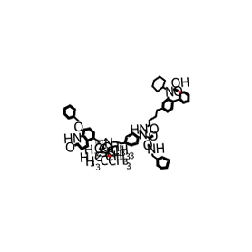 CC(C)(C)N(CCc1ccc(N(NC(=O)CCCc2ccc(-c3ccccc3)c(N(C(=O)O)C3CCCCC3)c2)C(=O)ONCc2ccccc2)cc1)C[C@H](O[Si](C)(C)C(C)(C)C)c1ccc(OCc2ccccc2)c2[nH]c(=O)ccc12